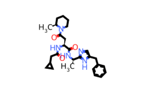 C[C@H](NC(=O)[C@H](CC(=O)N1CCCC[C@@H]1C)NC(=O)CC1CC1)c1ncc(Cc2ccccc2)[nH]1